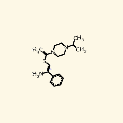 C=C(S/C=C(\N)c1ccccc1)N1CCN(C(C)C)CC1